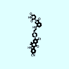 CCc1cc2c(cc1N1CCN(CCNc3cccc4c3CN(C3CCC(=O)NC3=O)C4=O)CC1)C(C)(C)c1[nH]c3cc(C#N)ccc3c1C2=O